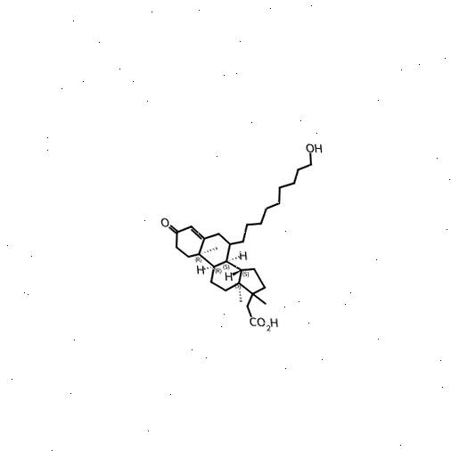 CC1(CC(=O)O)CC[C@H]2[C@@H]3C(CCCCCCCCCO)CC4=CC(=O)CC[C@]4(C)[C@@H]3CC[C@@]21C